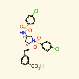 O=C(O)c1cccc(C=C[C@@H]2C[C@@H](NS(=O)(=O)c3ccc(Cl)cc3)CN2S(=O)(=O)c2ccc(Cl)cc2)c1